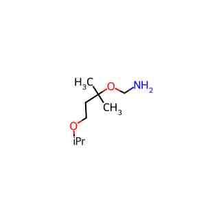 CC(C)OCCC(C)(C)OCN